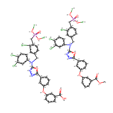 COC(=O)c1cccc(Oc2cccc(-c3nnc(N(Cc4ccc(CP(=O)(OF)OF)c(Br)c4)c4ccc(Cl)c(Cl)c4)o3)c2)c1.O=C(O)c1cccc(Oc2cccc(-c3nnc(N(Cc4ccc(CP(=O)(OF)OF)c(Br)c4)c4ccc(Cl)c(Cl)c4)o3)c2)c1